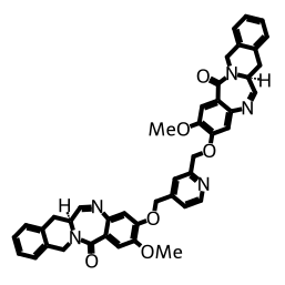 COc1cc2c(cc1OCc1ccnc(COc3cc4c(cc3OC)C(=O)N3Cc5ccccc5C[C@H]3C=N4)c1)N=C[C@@H]1Cc3ccccc3CN1C2=O